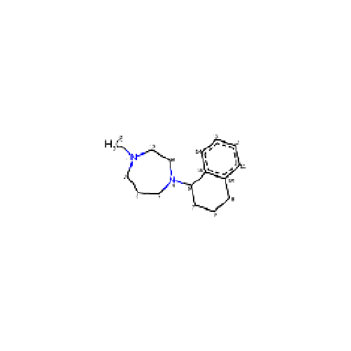 CN1CCCN(C2CCCc3ccccc32)CC1